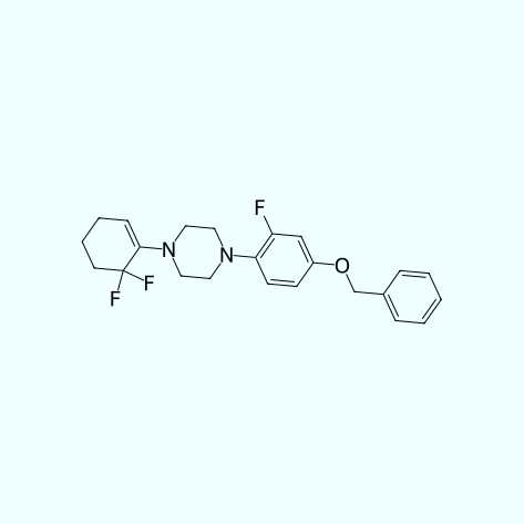 Fc1cc(OCc2ccccc2)ccc1N1CCN(C2=CCCCC2(F)F)CC1